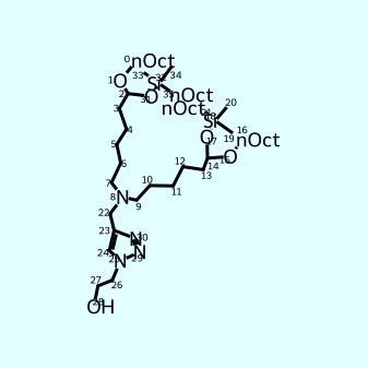 CCCCCCCCOC(CCCCCN(CCCCCC(OCCCCCCCC)O[Si](C)(C)CCCCCCCC)Cc1cn(CCO)nn1)O[Si](C)(C)CCCCCCCC